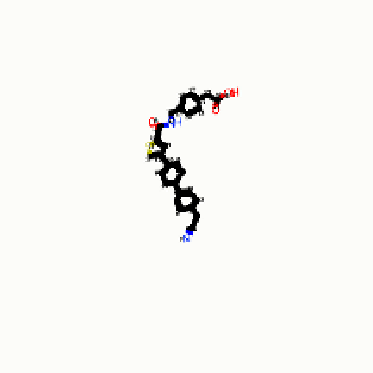 N#CCc1ccc(-c2ccc(-c3csc(C(=O)NCc4ccc(CC(=O)O)cc4)c3)cc2)cc1